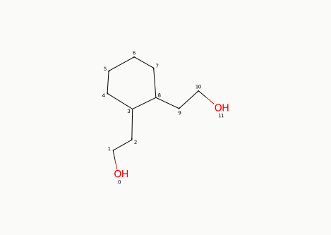 OCCC1CCCCC1CCO